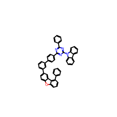 c1ccc(-c2nc(-c3ccc(-c4cccc(-c5ccc6oc7cccc(-c8ccccc8)c7c6c5)c4)cc3)nc(-n3c4ccccc4c4ccccc43)n2)cc1